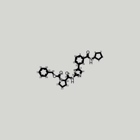 O=C(NC1CCCC1)c1cccc(-c2cnc(NC(=O)C3CCCN3C(=O)OCc3ccccc3)s2)c1